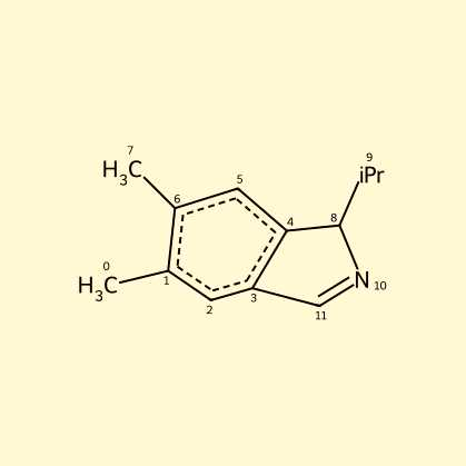 Cc1cc2c(cc1C)C(C(C)C)N=C2